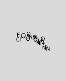 Cn1cncc1CNC(=O)c1cnc(CNS(=O)(=O)c2ccc(F)c(Cl)c2)cn1